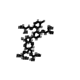 CCCCC(CC)COc1ccc(C)cc1-c1cc(-c2sc(C)c3c2OCC(COC(CC)CCCC)(COC(CC)CCCC)CO3)ccc1OCC(CC)CCCC